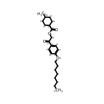 CCCCCCCCOc1ccc(C(=O)COC(=O)C2CCC(C)CC2)cc1